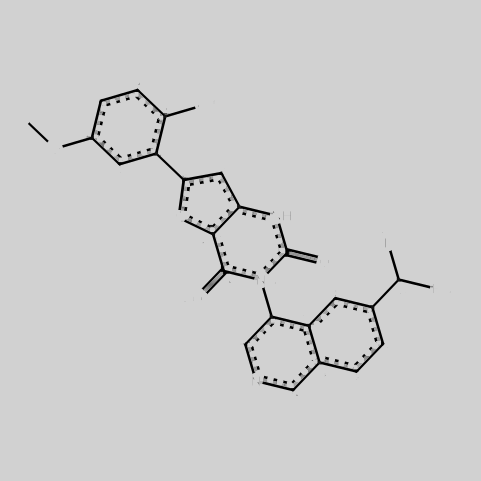 COc1ccc(Cl)c(-c2cc3[nH]c(=O)n(-c4cncc5ccc(C(F)F)cc45)c(=O)c3s2)c1